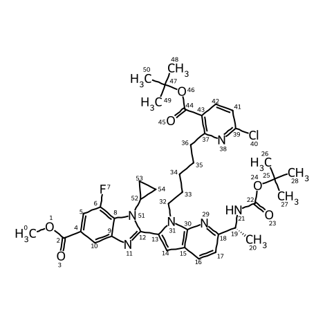 COC(=O)c1cc(F)c2c(c1)nc(-c1cc3ccc([C@@H](C)NC(=O)OC(C)(C)C)nc3n1CCCCCc1nc(Cl)ccc1C(=O)OC(C)(C)C)n2C1CC1